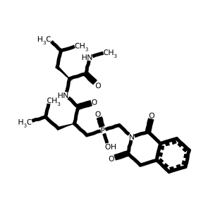 CNC(=O)[C@H](CC(C)C)NC(=O)[C@H](CC(C)C)CP(=O)(O)CN1C(=O)Cc2ccccc2C1=O